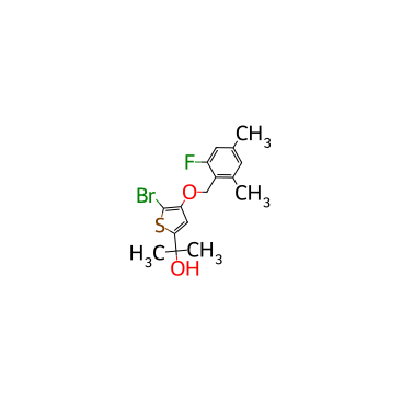 Cc1cc(C)c(COc2cc(C(C)(C)O)sc2Br)c(F)c1